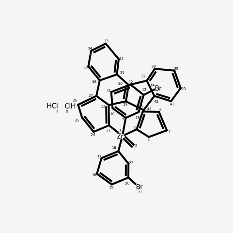 Cl.Cl.[CH2]=[Zr]([C]1=CC=CC1)([c]1cccc(Br)c1)([c]1cccc(Br)c1)[c]1cccc2c1c1c(c3ccccc32)-c2ccccc2C1